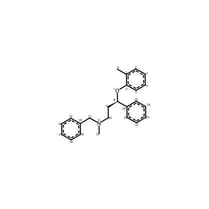 Cc1ccccc1O[C@H](CCN(C)Cc1ccccc1)c1ccccc1